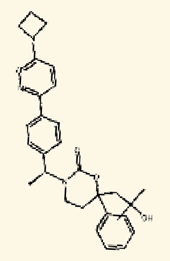 C[C@@H](c1ccc(-c2ccc(N3CCC3)nn2)cc1)N1CCC(CC(C)(C)O)(c2ccccc2)OC1=O